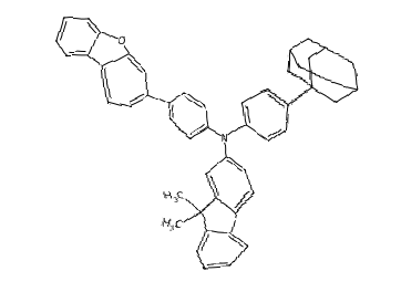 CC1(C)c2ccccc2-c2ccc(N(c3ccc(-c4ccc5c(c4)oc4ccccc45)cc3)c3ccc(C45CC6CC(CC(C6)C4)C5)cc3)cc21